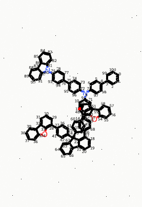 c1ccc(-c2ccc(N(c3ccc(-c4ccc(-c5cccc6c5C(c5ccc(-c7cccc8c7oc7ccccc78)cc5)(c5ccc(-c7cccc8c7oc7ccccc78)cc5)c5ccccc5-6)cc4)cc3)c3ccc(-c4ccc(-n5c6ccccc6c6ccccc65)cc4)cc3)cc2)cc1